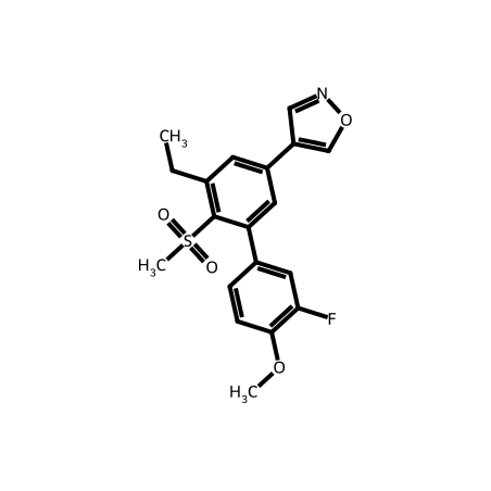 CCc1cc(-c2cnoc2)cc(-c2ccc(OC)c(F)c2)c1S(C)(=O)=O